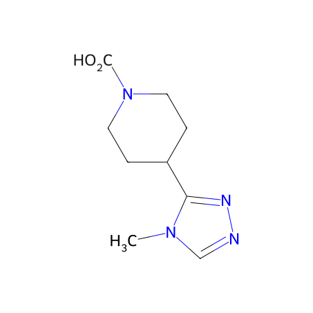 Cn1cnnc1C1CCN(C(=O)O)CC1